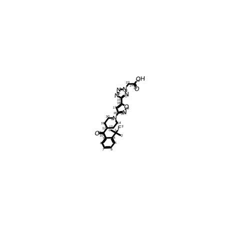 CC(C)(F)c1ccccc1C(=O)C1CCN(c2cc(-c3nnn(CC(=O)O)n3)on2)CC1